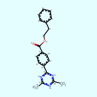 O=C(OCCc1ccccc1)c1ccc(-c2nc(C(Cl)(Cl)Cl)nc(C(Cl)(Cl)Cl)n2)cc1